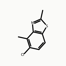 Cc1nc2c(C)c(Cl)ccc2s1